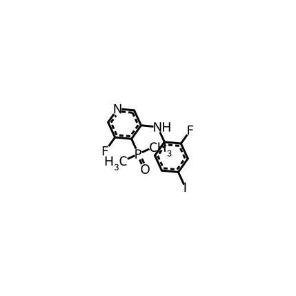 CP(C)(=O)c1c(F)cncc1Nc1ccc(I)cc1F